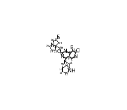 Fc1c(Cl)ncc2c(N3CC4CCNC(C4)C3)nc(OC[C@@]34CCCN3C[C@H](F)C4)nc12